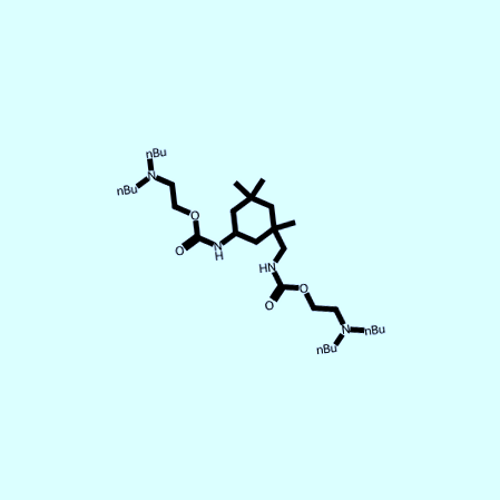 CCCCN(CCCC)CCOC(=O)NCC1(C)CC(NC(=O)OCCN(CCCC)CCCC)CC(C)(C)C1